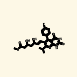 COC(=O)CC(O)CC(O)/C=C/c1c(C(C)C)nc2[nH]c(=O)[nH]c(=O)c2c1-c1ccc(F)cc1